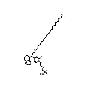 CCCCCCCCCCCCCCCCCCOCCN(c1ccn(CCOCP(=O)(O)O)c(=O)n1)c1cccc2ccccc12